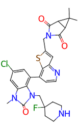 Cn1c(=O)n(CC2(F)CCNCC2)c2c(-c3ccnc4cc(CN5C(=O)C6C(C5=O)C6(C)C)sc34)cc(Cl)cc21